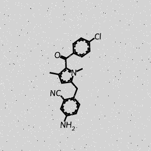 Cc1cc(Cc2ccc(N)cc2C#N)n(C)c1C(=O)c1ccc(Cl)cc1